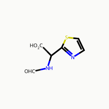 O=CNC(C(=O)O)c1nccs1